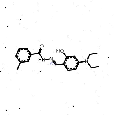 CCN(CC)c1ccc(/C=N/NC(=O)c2cccc(C)c2)c(O)c1